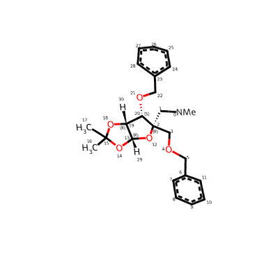 CNC[C@]1(COCc2ccccc2)O[C@@H]2OC(C)(C)O[C@@H]2[C@@H]1OCc1ccccc1